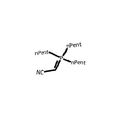 CCCCCP(=CC#N)(CCCCC)CCCCC